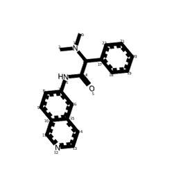 CN(C)C(C(=O)Nc1ccc2cnccc2c1)c1ccccc1